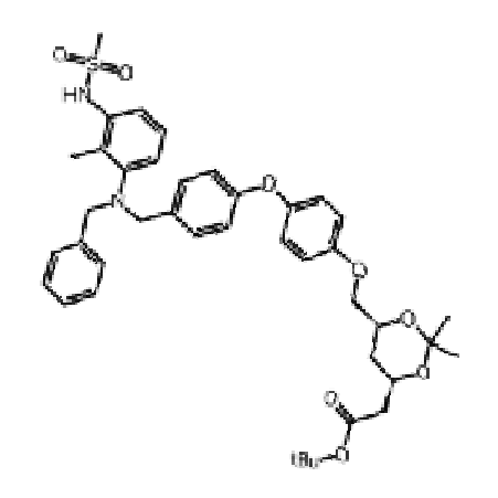 Cc1c(NS(C)(=O)=O)cccc1N(Cc1ccccc1)Cc1ccc(Oc2ccc(OC[C@@H]3C[C@H](CC(=O)OC(C)(C)C)OC(C)(C)O3)cc2)cc1